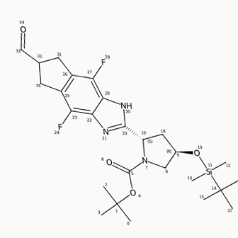 CC(C)(C)OC(=O)N1C[C@H](O[Si](C)(C)C(C)(C)C)C[C@H]1c1nc2c(F)c3c(c(F)c2[nH]1)CC(C=O)C3